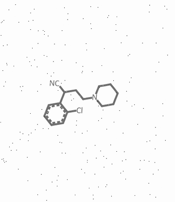 N#CC(CCN1CCCCC1)c1ccccc1Cl